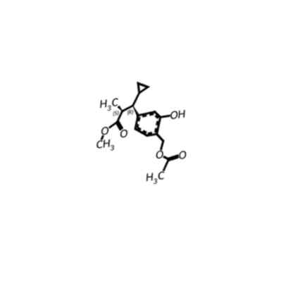 COC(=O)[C@@H](C)[C@H](c1ccc(COC(C)=O)c(O)c1)C1CC1